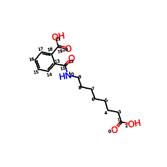 O=C(O)CCCCCCCNC(=O)c1ccccc1C(=O)O